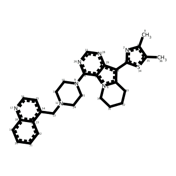 Cc1nc(-c2c3n(c4c(N5CCN(Cc6ccnc7ccccc67)CC5)ncnc24)CCCC3)sc1C